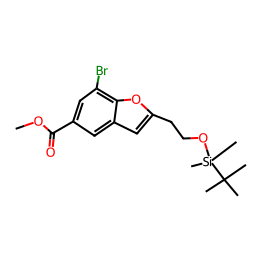 COC(=O)c1cc(Br)c2oc(CCO[Si](C)(C)C(C)(C)C)cc2c1